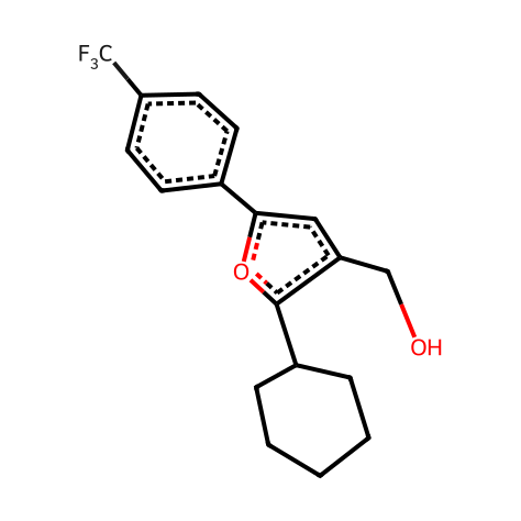 OCc1cc(-c2ccc(C(F)(F)F)cc2)oc1C1CCCCC1